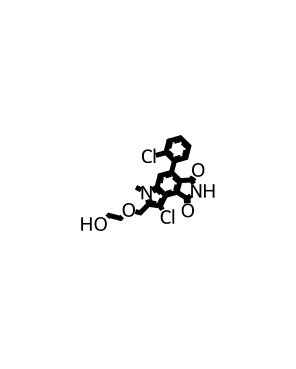 Cn1c(COCCO)c(Cl)c2c3c(c(-c4ccccc4Cl)cc21)C(=O)NC3=O